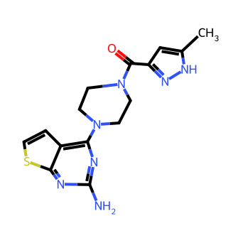 Cc1cc(C(=O)N2CCN(c3nc(N)nc4sccc34)CC2)n[nH]1